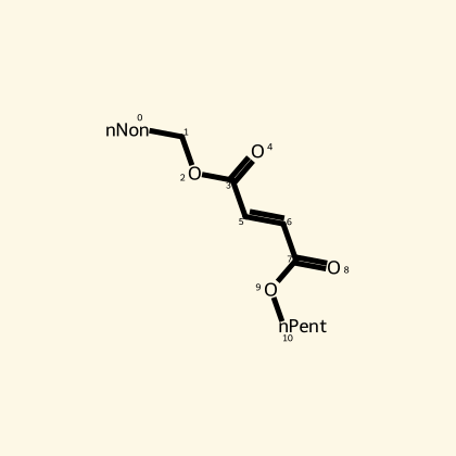 CCCCCCCCCCOC(=O)C=CC(=O)OCCCCC